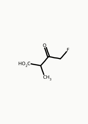 CC(C(=O)O)C(=O)CF